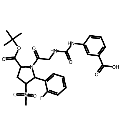 CC(C)(C)OC(=O)C1CC(S(C)(=O)=O)C(c2ccccc2F)N1C(=O)CNC(=O)Nc1cccc(C(=O)O)c1